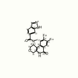 CN(C(=O)c1ccc2cn[nH]c2c1)[C@H]1COCc2[nH]c(=O)c3cc(F)c(F)cc3c21